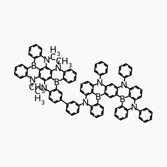 CN1c2ccccc2B2c3ccccc3N(C)c3c2c1c1c2c3N(C)c3ccc(-c4cccc(N5c6ccccc6B6c7cc8c(cc7N(c7ccccc7)c7cccc5c76)N(c5ccccc5)c5cccc6c5B8c5ccccc5N6c5ccccc5)c4)cc3B2c2ccccc2N1C